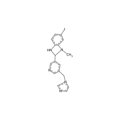 CN1c2cc(I)ccc2NC1c1cncc(Cn2ccnc2)c1